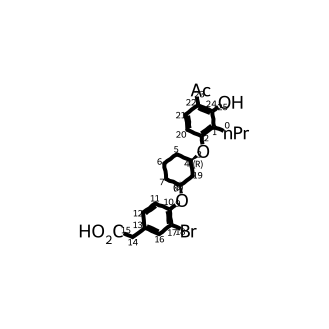 CCCc1c(O[C@@H]2CCC[C@H](Oc3ccc(CC(=O)O)cc3Br)C2)ccc(C(C)=O)c1O